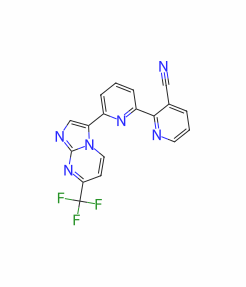 N#Cc1cccnc1-c1cccc(-c2cnc3nc(C(F)(F)F)ccn23)n1